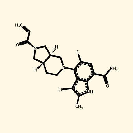 C=CC(=O)N1C[C@H]2CCN(c3c(F)cc(C(N)=O)c4[nH]c(C)c(Cl)c34)C[C@@H]2C1